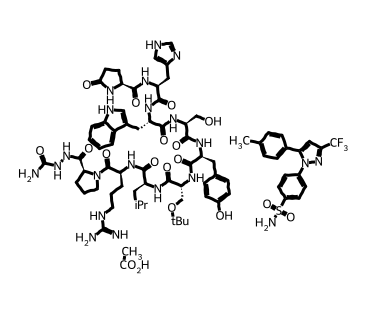 CC(=O)O.CC(C)C[C@H](NC(=O)[C@@H](COC(C)(C)C)NC(=O)[C@H](Cc1ccc(O)cc1)NC(=O)[C@H](CO)NC(=O)[C@H](Cc1c[nH]c2ccccc12)NC(=O)[C@H](Cc1c[nH]cn1)NC(=O)[C@@H]1CCC(=O)N1)C(=O)N[C@@H](CCCNC(=N)N)C(=O)N1CCC[C@H]1C(=O)NNC(N)=O.Cc1ccc(-c2cc(C(F)(F)F)nn2-c2ccc(S(N)(=O)=O)cc2)cc1